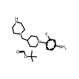 CC(C)(C)OC=O.Nc1ccc(N2CCC(CN3CCNCC3)CC2)c(F)c1